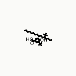 CC(C)(C)c1cc(C(=O)O)ccc1O.CCCCCCCCCCCC(CCCC)C(C)(C)C